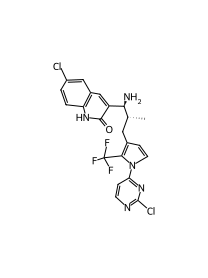 C[C@H](Cc1ccn(-c2ccnc(Cl)n2)c1C(F)(F)F)[C@H](N)c1cc2cc(Cl)ccc2[nH]c1=O